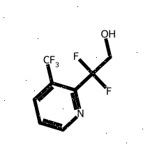 OCC(F)(F)c1ncccc1C(F)(F)F